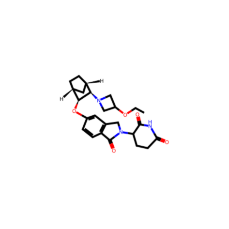 CCOC1CN([C@@H]2[C@H]3CC[C@H](C3)[C@@H]2Oc2ccc3c(c2)CN(C2CCC(=O)NC2=O)C3=O)C1